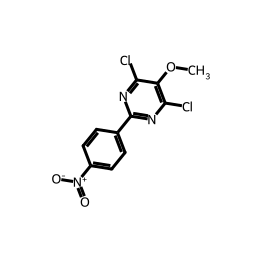 COc1c(Cl)nc(-c2ccc([N+](=O)[O-])cc2)nc1Cl